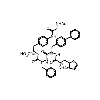 CC(=O)NCC(=O)Nc1ccc(C[C@H](NC(=O)[C@@H](Cc2ccccc2)NC(=O)[C@H](Cc2ccc(-c3ccccc3)cc2)NC(=O)[C@@H](CC2CC=CS2)NC(C)=O)C(=O)O)cc1